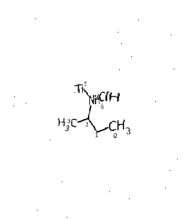 CCC(C)[NH][Ti].Cl